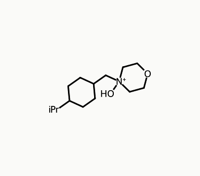 CC(C)C1CCC(C[N+]2(O)CCOCC2)CC1